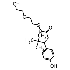 CC(C)(C)C(CC(=O)OSCCOCCO)c1ccc(O)cc1